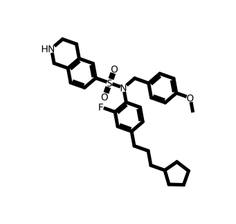 COc1ccc(CN(c2ccc(CCCC3CCCC3)cc2F)S(=O)(=O)c2ccc3c(c2)CCNC3)cc1